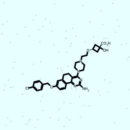 Nc1nc2c(c(N3CCN(CCO[C@H]4C[C@](O)(C(=O)O)C4)CC3)n1)CCc1cc(OCc3ccc(Cl)cc3)ccc1-2